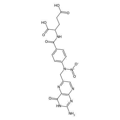 Nc1nc2ncc(CN(c3ccc(C(=O)NC(CCC(=O)O)C(=O)O)cc3)[N+](=O)[O-])nc2c(=O)[nH]1